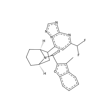 Cc1c(C(=O)N2[C@@H]3CCC[C@H]2C(c2cc(C(F)F)nc4ncnn24)C3)oc2ccccc12